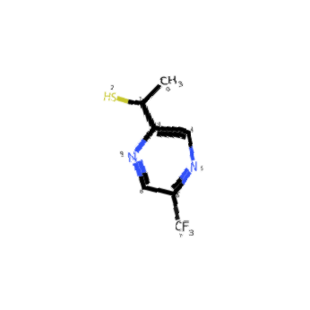 CC(S)c1cnc(C(F)(F)F)cn1